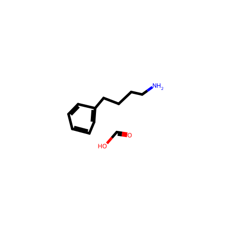 NCCCCc1ccccc1.O=CO